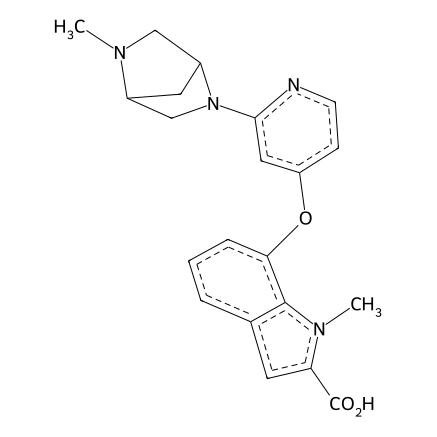 CN1CC2CC1CN2c1cc(Oc2cccc3cc(C(=O)O)n(C)c23)ccn1